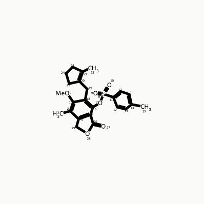 COc1c(C)c2c(c(OS(=O)(=O)c3ccc(C)cc3)c1CC1=C(C)CCC1)C(=O)OC2